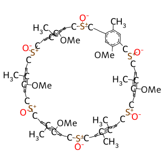 COc1cc2c(C)cc1C[S+]([O-])Cc1cc(OC)c(cc1C)C[S+]([O-])Cc1cc(OC)c(cc1C)C[S+]([O-])Cc1cc(C)c(cc1C)C[S@+]([O-])Cc1cc(C)c(cc1OC)C[S+]([O-])Cc1cc(C)c(cc1OC)C[S+]([O-])C2